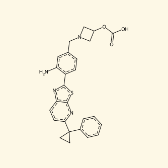 Nc1cc(CN2CC(OC(=O)O)C2)ccc1-c1nc2ccc(C3(c4ccccc4)CC3)nc2s1